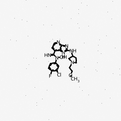 COCCN1CCC(Nc2nc3nccc(C(=N)N(O)c4ccc(F)c(Cl)c4)c3[nH]2)C1